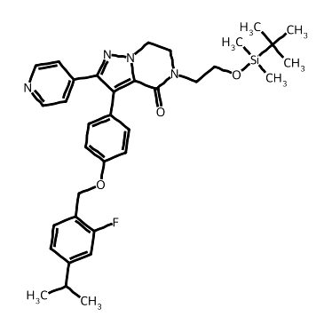 CC(C)c1ccc(COc2ccc(-c3c(-c4ccncc4)nn4c3C(=O)N(CCO[Si](C)(C)C(C)(C)C)CC4)cc2)c(F)c1